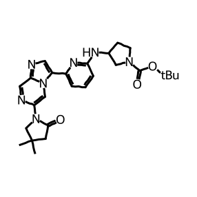 CC1(C)CC(=O)N(c2cn3c(-c4cccc(NC5CCN(C(=O)OC(C)(C)C)C5)n4)cnc3cn2)C1